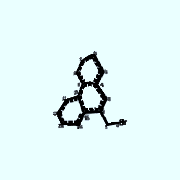 BrCc1cc2ccccc2c2ccccc12